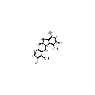 Cc1c(Br)cc(Br)c2c1C(=Cc1cccc(F)c1O)C(=O)N2